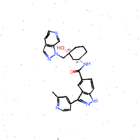 Cc1cc(-c2n[nH]c3ccc(C(=O)N[C@H]4CCC[C@](O)(Cn5ncc6ccncc65)C4)cc23)ccn1